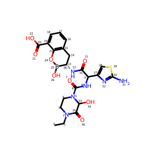 CCN1CCN(C(=O)NC(C(=O)N[C@H]2Cc3cccc(C(=O)O)c3OB2O)c2csc(N)n2)C(O)C1=O